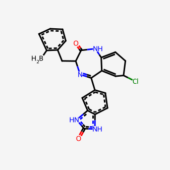 Bc1ccccc1CC1N=C(c2ccc3[nH]c(=O)[nH]c3c2)C2=CC(Cl)CC=C2NC1=O